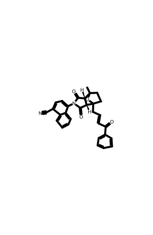 CC12CCC(C/C=C/C(=O)c3ccccc3)(O1)[C@@H]1C(=O)N(c3ccc(C#N)c4ccccc34)C(=O)[C@@H]12